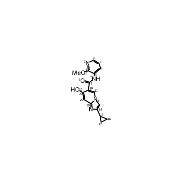 COc1ncccc1NC(=O)c1cn2cc(C3CC3)nc2cc1O